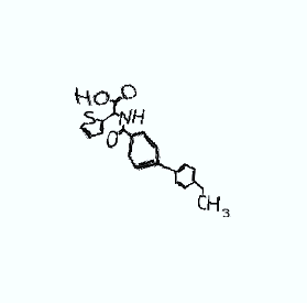 CCc1ccc(-c2ccc(C(=O)NC(C(=O)O)c3cccs3)cc2)cc1